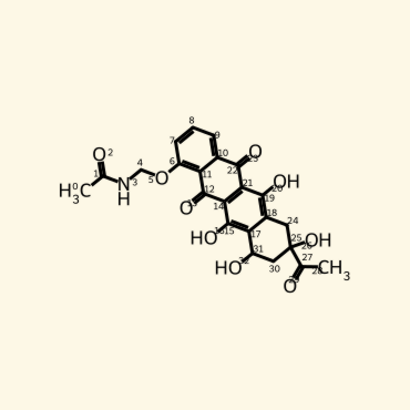 CC(=O)NCOc1cccc2c1C(=O)c1c(O)c3c(c(O)c1C2=O)CC(O)(C(C)=O)CC3O